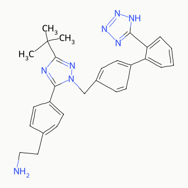 CC(C)(C)c1nc(-c2ccc(CCN)cc2)n(Cc2ccc(-c3ccccc3-c3nnn[nH]3)cc2)n1